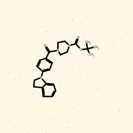 CC(C)(C)OC(=O)N1CCN(C(=O)c2ccc(N3CCc4ccccc43)cc2)CC1